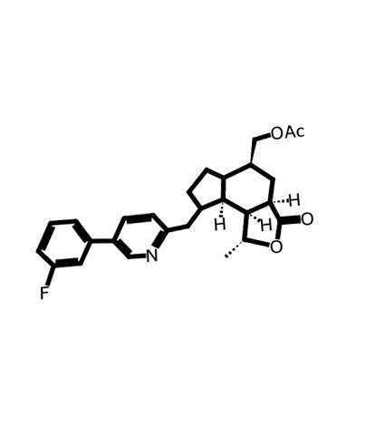 CC(=O)OC[C@H]1C[C@H]2C(=O)O[C@H](C)[C@H]2[C@H]2C(Cc3ccc(-c4cccc(F)c4)cn3)CCC12